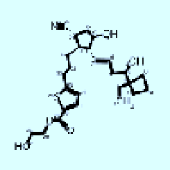 CCC1(C(O)C/C=C/[C@@H]2[C@@H](CCCc3ccc(C(=O)OCCO)s3)[C@H](C#N)C[C@H]2O)CCC1